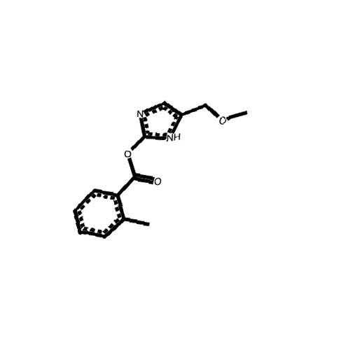 COCc1cnc(OC(=O)c2ccccc2C)[nH]1